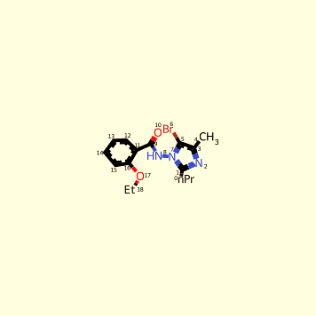 CCCc1nc(C)c(Br)n1NC(=O)c1ccccc1OCC